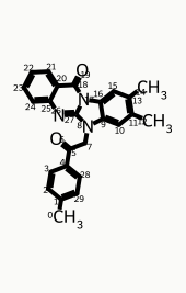 Cc1ccc(C(=O)Cn2c3cc(C)c(C)cc3n3c(=O)c4ccccc4nc23)cc1